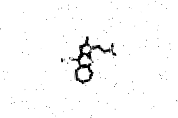 Cc1cc2c(N)c3c(nc2n1CCN(C)C)CCCCC3